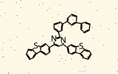 c1ccc(-c2cccc(-c3cccc(-c4nc(-c5ccc6c(c5)sc5ccccc56)cc(-c5ccc6c(c5)sc5ccccc56)n4)c3)c2)cc1